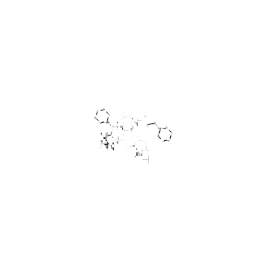 CN1CCCC1CCn1nnnc1C(c1ccccc1)N1CCN(CC=Cc2ccccc2)CC1